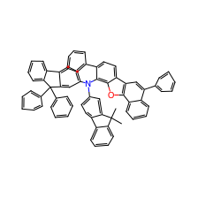 CC1(C)c2ccccc2-c2ccc(N(c3ccc4c(c3)C(c3ccccc3)(c3ccccc3)c3ccccc3-4)c3c(-c4ccccc4)ccc4c3oc3c5ccccc5c(-c5ccccc5)cc43)cc21